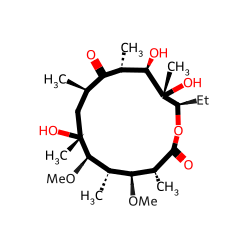 CC[C@H]1OC(=O)[C@H](C)[C@@H](OC)[C@H](C)[C@@H](OC)[C@](C)(O)C[C@@H](C)C(=O)[C@H](C)[C@@H](O)[C@]1(C)O